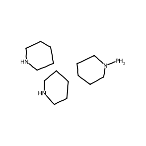 C1CCNCC1.C1CCNCC1.PN1CCCCC1